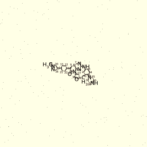 Cc1cc(Nc2ncc3cc(-c4ccc(-c5cnn(C)c5)cc4)c(=O)n(C4CCOC4)c3n2)ccc1N1CCNCC1